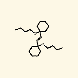 CCCCOC1(N=NC2(OCCCC)CCCCC2)CCCCC1